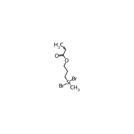 C=CC(=O)OCCC[Si](C)(Br)Br